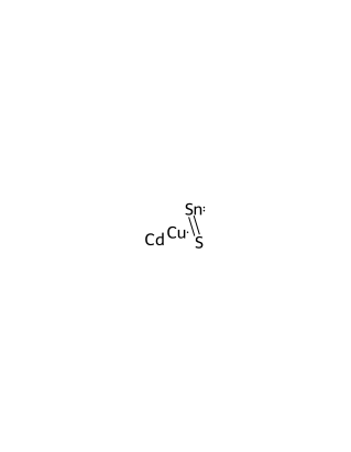 [Cd].[Cu].[S]=[Sn]